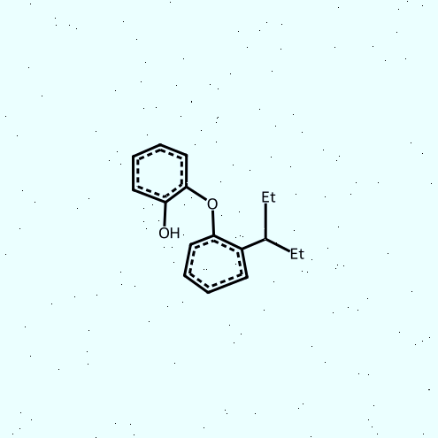 CCC(CC)c1ccccc1Oc1ccccc1O